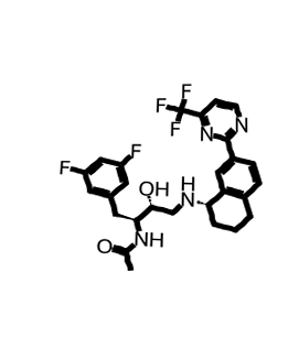 CC(=O)N[C@@H](Cc1cc(F)cc(F)c1)[C@H](O)CN[C@H]1CCCc2ccc(-c3nccc(C(F)(F)F)n3)cc21